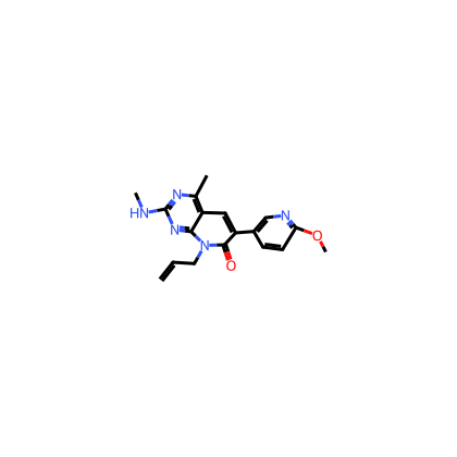 C=CCn1c(=O)c(-c2ccc(OC)nc2)cc2c(C)nc(NC)nc21